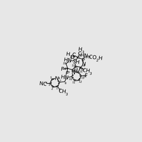 Cc1cc(C#N)cnc1CNc1ccc(F)c([C@@]2(C)N=C(NC(=O)O)C(C)(C)[SH]3(=O)NCC(F)(F)C[C@H]23)n1